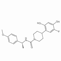 COc1ccc([C@H](C)NC(=O)N2CCC(c3cc(F)c(O)cc3O)CC2)cc1